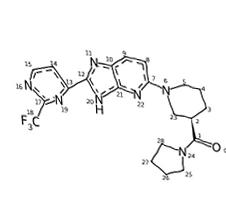 O=C([C@@H]1CCCN(c2ccc3nc(-c4ccnc(C(F)(F)F)n4)[nH]c3n2)C1)N1CCCC1